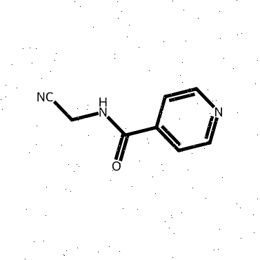 N#CCNC(=O)c1ccncc1